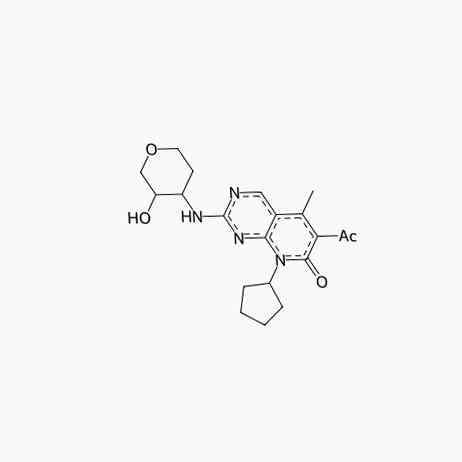 CC(=O)c1c(C)c2cnc(NC3CCOCC3O)nc2n(C2CCCC2)c1=O